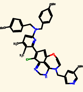 COc1ccc(CN(Cc2ccc(OC)cc2)c2cc(C)c(C(F)(F)F)c(-c3cc4c5c(c3Cl)=NCNC=5N(Cc3cncc(SC)c3)C=CO4)n2)cc1